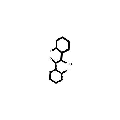 OC(C(O)C1CCCCC1F)C1CCCCC1F